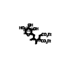 CCOC(=O)C[C@@H](C(=O)OCC)N(C)C(C)CC1OC[C@@H](O)[C@H](O)[C@H]1O